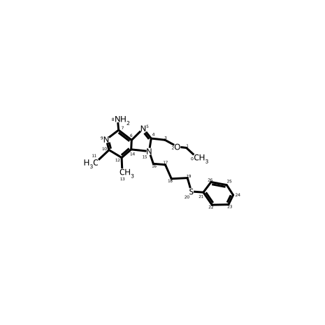 CCOCc1nc2c(N)nc(C)c(C)c2n1CCCCSc1ccccc1